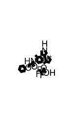 Cc1cc([N+]2(C3CCNC3)CCCC2C)ccc1NC(=O)COc1ccccc1.O=C(O)C(F)(F)F